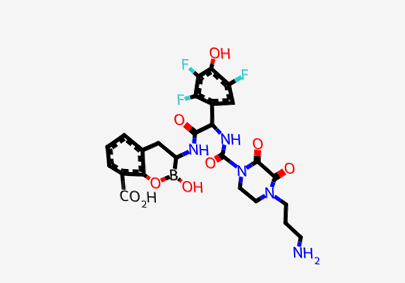 NCCCN1CCN(C(=O)NC(C(=O)NC2Cc3cccc(C(=O)O)c3OB2O)c2cc(F)c(O)c(F)c2F)C(=O)C1=O